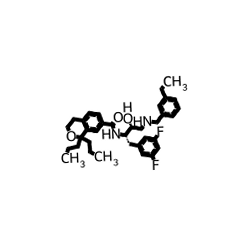 CCCC1(CCC)OCCc2ccc(C(=O)N[C@@H](Cc3cc(F)cc(F)c3)[C@@H](O)CNCc3cccc(CC)c3)cc21